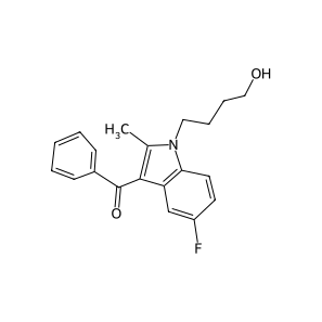 Cc1c(C(=O)c2ccccc2)c2cc(F)ccc2n1CCCCO